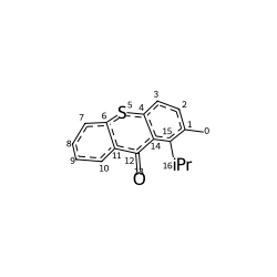 Cc1ccc2sc3ccccc3c(=O)c2c1C(C)C